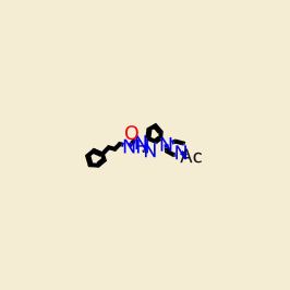 CC(=O)N1CCN(c2cccc3c2ncn3C(=O)NCCCc2ccccc2)CC1